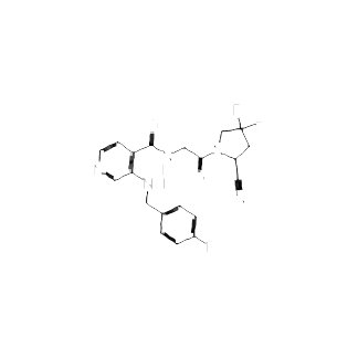 N#CC1CC(F)(F)CN1C(=O)CNC(=O)c1ccncc1NCc1ccc(F)cc1